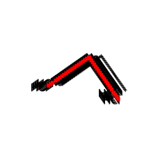 Cl.Cl.Cl.Cl.Cl.Cl.Cl.Cl.Cl.Cl.Cl.Cl.Cl.Cl.Cl.[Na+].[Na+].[Na+].[Na+].[Na+].[Na+].[Na+].[Na+].[Na+].[Na+].[Na+].[Na+].[Na+].[Na+].[Na+].[Na+].[Na+].[Na+].[Na+].[Na+].[Na+].[Na+].[Na+].[Na+].[Na+].[Na+].[Na+].[Na+].[Na+].[Na+].[Na+].[Na+].[Na+].[Na+].[Na+].[Na+].[Na+].[Na+].[Na+].[Na+].[Na+].[Na+].[Na+].[Na+].[Na+].[Na+].[Na+].[Na+].[Na+].[Na+].[Na+].[Na+].[Na+].[Na+].[Na+].[Na+].[Na+].[Na+].[Na+].[Na+].[Na+].[Na+].[Na+].[Na+].[Na+].[Na+].[Na+].[Na+]